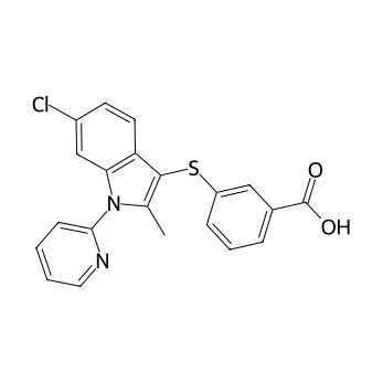 Cc1c(Sc2cccc(C(=O)O)c2)c2ccc(Cl)cc2n1-c1ccccn1